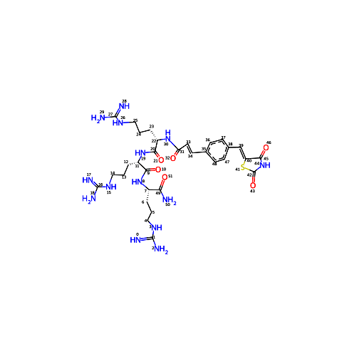 N=C(N)NCCC[C@H](NC(=O)[C@H](CCCNC(=N)N)NC(=O)[C@H](CCCNC(=N)N)NC(=O)/C=C/c1ccc(/C=C2\SC(=O)NC2=O)cc1)C(N)=O